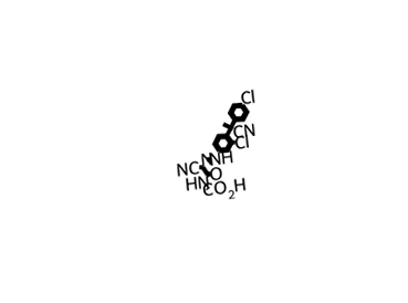 CC(C#N)(c1ccc(Cl)cc1)c1ccc(NN=C(C#N)C(=O)NC(=O)O)cc1Cl